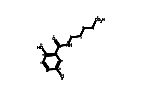 O=C(O)CCCCNC(=O)c1cc(Cl)ccc1O